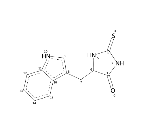 O=C1NC(=S)NC1Cc1c[nH]c2ccccc12